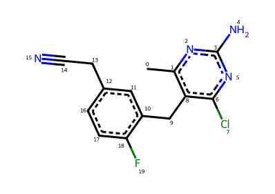 Cc1nc(N)nc(Cl)c1Cc1cc(CC#N)ccc1F